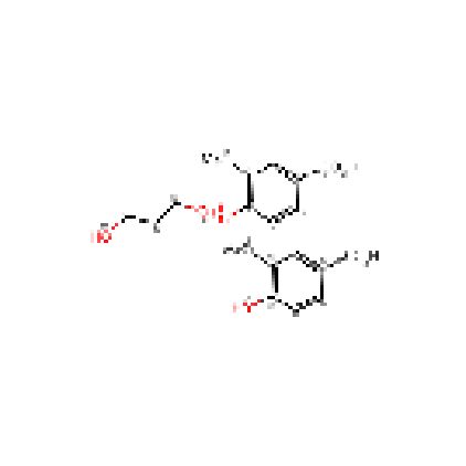 COc1cc(C(=O)O)ccc1O.COc1cc(C(=O)O)ccc1O.OCCCO